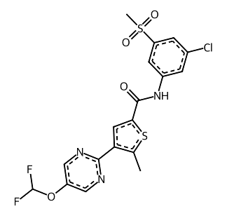 Cc1sc(C(=O)Nc2cc(Cl)cc(S(C)(=O)=O)c2)cc1-c1ncc(OC(F)F)cn1